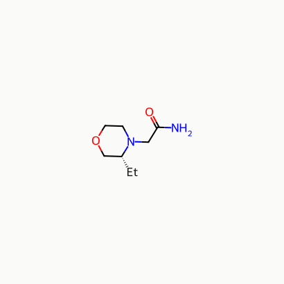 CC[C@@H]1COCCN1CC(N)=O